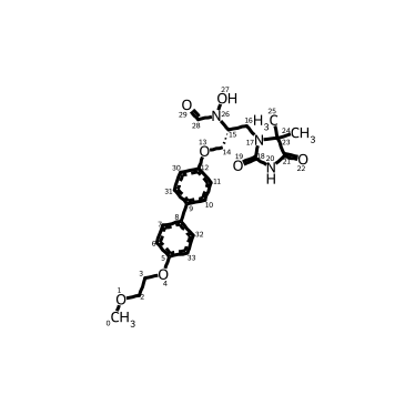 COCCOc1ccc(-c2ccc(OC[C@@H](CN3C(=O)NC(=O)C3(C)C)N(O)C=O)cc2)cc1